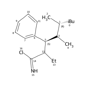 CCC(C)[C@@H](C)C(C)[C@H](c1ccccc1)C(CC)C(=N)Cl